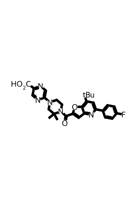 CC(C)(C)c1cc(-c2ccc(F)cc2)nc2cc(C(=O)N3CCN(c4cnc(C(=O)O)cn4)CC3(C)C)oc12